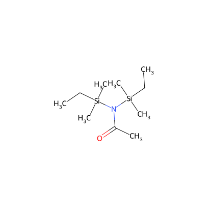 CC[Si](C)(C)N(C(C)=O)[Si](C)(C)CC